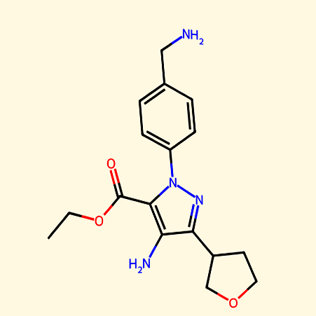 CCOC(=O)c1c(N)c(C2CCOC2)nn1-c1ccc(CN)cc1